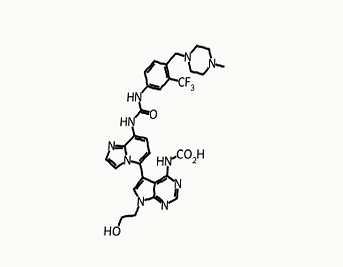 CN1CCN(Cc2ccc(NC(=O)Nc3ccc(-c4cn(CCO)c5ncnc(NC(=O)O)c45)n4ccnc34)cc2C(F)(F)F)CC1